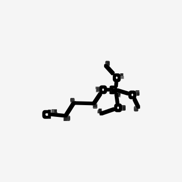 CO[Si](OC)(OC)OCCCCl